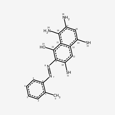 Cc1ccccc1/N=N/c1c(S)cc2c(S)cc(N)c(N)c2c1O